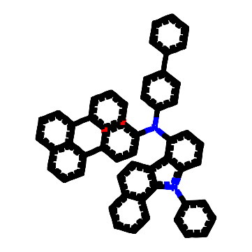 c1ccc(-c2ccc(N(c3ccc(-c4cccc5cccc(-c6ccccc6)c45)cc3)c3cccc4c3c3ccc5ccccc5c3n4-c3ccccc3)cc2)cc1